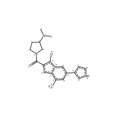 CN(C)C1CCN(C(=O)c2nc3c(C(F)(F)F)cc(-c4cc[nH]c4)cn3c2Cl)C1